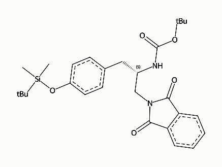 CC(C)(C)OC(=O)N[C@@H](Cc1ccc(O[Si](C)(C)C(C)(C)C)cc1)CN1C(=O)c2ccccc2C1=O